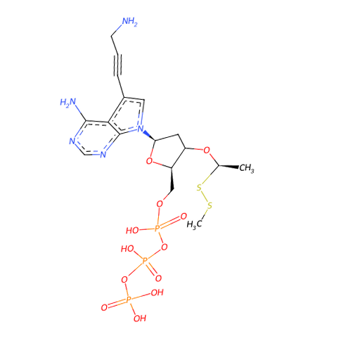 CSS[C@H](C)OC1C[C@H](n2cc(C#CCN)c3c(N)ncnc32)O[C@@H]1COP(=O)(O)OP(=O)(O)OP(=O)(O)O